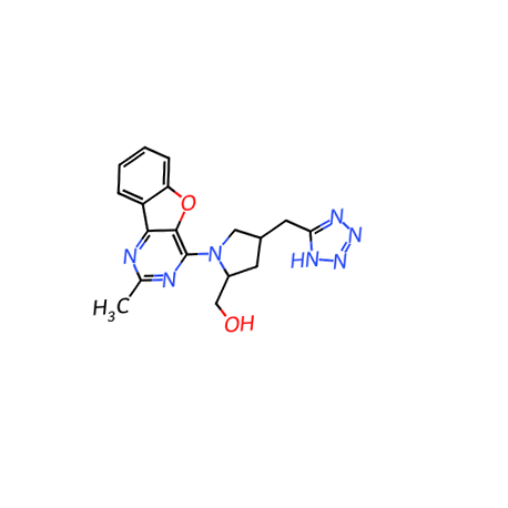 Cc1nc(N2CC(Cc3nnn[nH]3)CC2CO)c2oc3ccccc3c2n1